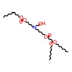 CCCCC/C=C\CCCOC(=O)OCCCCCN(CCO)CCCCCCOC(=O)CCC(OCCCCCCCC)OCCCCCCCC